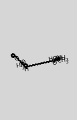 [2H]c1cc(NC(=O)CCCCOCc2ccccc2)ccc1CCCCCCCCCCCCCCCCCC[P+]([O-])=C(O)C[N+](C)(C)C